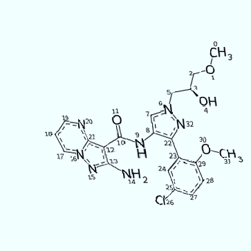 COC[C@@H](O)Cn1cc(NC(=O)c2c(N)nn3cccnc23)c(-c2cc(Cl)ccc2OC)n1